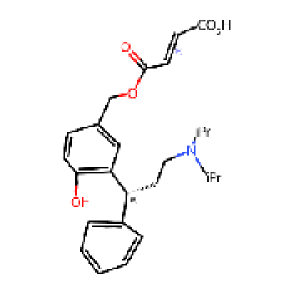 CC(C)N(CC[C@H](c1ccccc1)c1cc(COC(=O)/C=C/C(=O)O)ccc1O)C(C)C